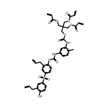 C=CCc1cc(S(=O)(=O)c2ccc(OC(=O)Nc3ccc(C)c(NC(=O)OCC(COC(=O)C=C)(COC(=O)C=C)COC(=O)C=C)c3)c(CC=C)c2)ccc1O